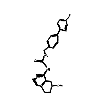 O=C(NCc1ccc(-c2ccc(F)cc2)cc1)Nc1cccc2c1CC(O)CC2